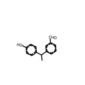 [CH2]C(c1ccc(O)cc1)c1cccc(C=O)c1